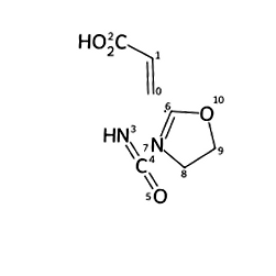 C=CC(=O)O.N=C=O.[C]1=NCCO1